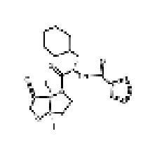 O=C(N[C@@H](CC1CCCCC1)C(=O)N1CC[C@H]2OCC(=O)[C@H]21)c1ccsc1